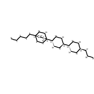 CCCCCC12CCC([C@H]3CC[C@H]([C@H]4CC[C@H](CCC)CC4)CC3)(CC1)CC2